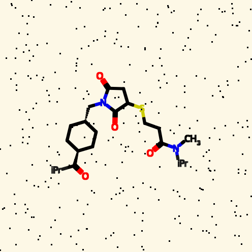 CC(C)C(=O)[C@H]1CC[C@H](CN2C(=O)CC(SCCC(=O)N(C)C(C)C)C2=O)CC1